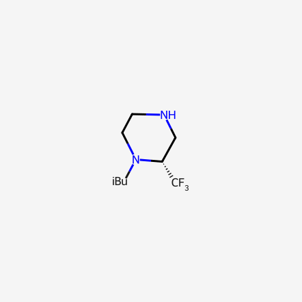 CCC(C)N1CCNC[C@@H]1C(F)(F)F